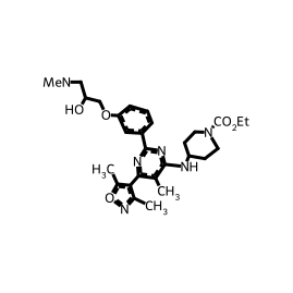 CCOC(=O)N1CCC(Nc2nc(-c3cccc(OCC(O)CNC)c3)nc(-c3c(C)noc3C)c2C)CC1